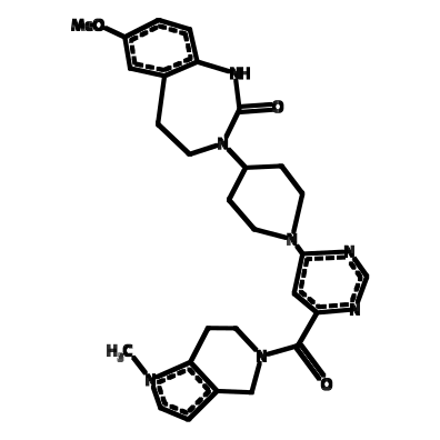 COc1ccc2c(c1)CCN(C1CCN(c3cc(C(=O)N4CCc5c(ccn5C)C4)ncn3)CC1)C(=O)N2